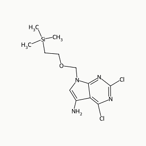 C[Si](C)(C)CCOCn1cc(N)c2c(Cl)nc(Cl)nc21